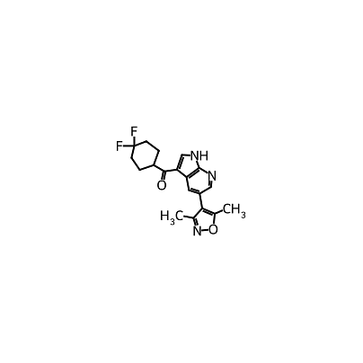 Cc1noc(C)c1-c1cnc2[nH]cc(C(=O)C3CCC(F)(F)CC3)c2c1